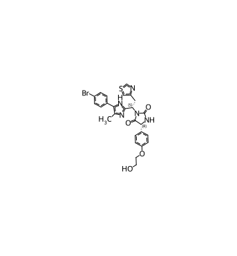 Cc1nc([C@H](Cc2cscn2)N2C(=O)N[C@H](c3ccc(OCCO)cc3)C2=O)[nH]c1-c1ccc(Br)cc1